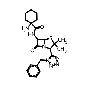 CC1(C)SC2C(NC(=O)C3(N)CCCCC3)C(=O)N2C1c1nnnn1Cc1ccccc1